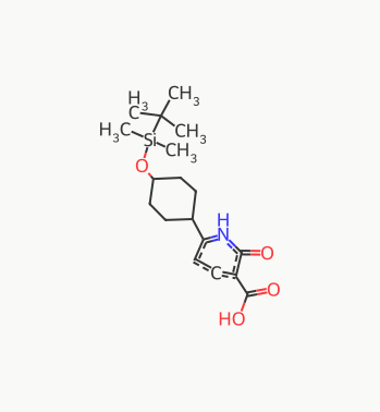 CC(C)(C)[Si](C)(C)OC1CCC(c2ccc(C(=O)O)c(=O)[nH]2)CC1